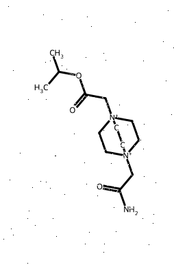 CC(C)OC(=O)C[N+]12CC[N+](CC(N)=O)(CC1)CC2